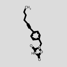 CCCCC#Cc1ccc(Cn2oc(=O)[nH]c2=O)cc1